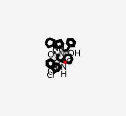 O=C(NC1CCCCC1)[C@H]1[C@H](c2cccc(Cl)c2F)[C@]2(C(=O)Nc3cc(Cl)ccc32)C2(CCCCC2)N1[C@H](c1ccccc1)[C@@H](O)c1ccccc1